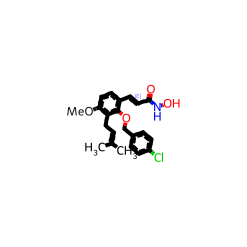 COc1ccc(/C=C/C(=O)NO)c(OCc2ccc(Cl)cc2)c1CC=C(C)C